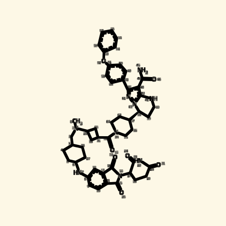 CN(CC1CCC(Nc2ccc3c(c2)C(=O)N(C2CCC(=O)NC2=O)C3=O)CC1)C1CC(C(=O)N2CCC([C@@H]3CCNc4c(C(N)=O)c(-c5ccc(Oc6ccccc6)cc5)nn43)CC2)C1